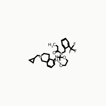 CCC(=O)N(Cc1ccccc1C(F)(F)F)C1(Nc2cccc3c2CCN(CC2CC2)C3)COCCO1